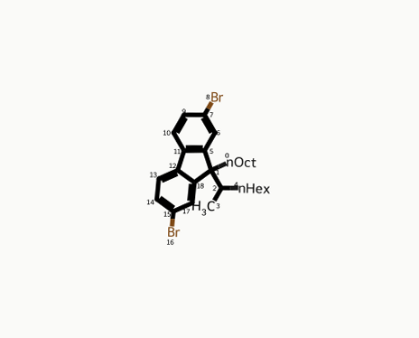 CCCCCCCCC1(C(C)CCCCCC)c2cc(Br)ccc2-c2ccc(Br)cc21